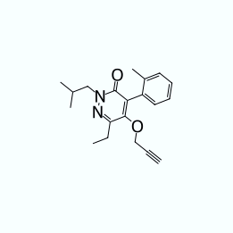 C#CCOc1c(CC)nn(CC(C)C)c(=O)c1-c1ccccc1C